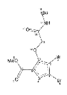 COC(=O)c1sc(Br)c(Br)c1OCC(=O)NC(C)(C)C